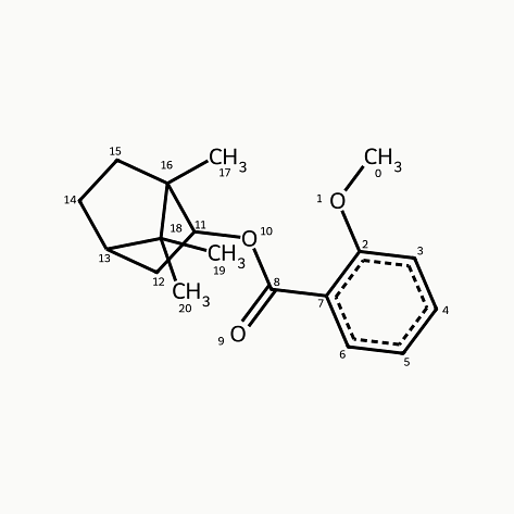 COc1ccccc1C(=O)OC1CC2CCC1(C)C2(C)C